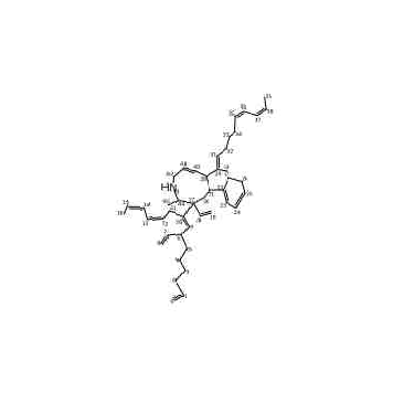 C=CCCCCC(C=C)/C=C(\C/C=C\C=C/C)C1(C=C)CC(C2=CC=CCC2)C(/C(C)=C/CCC/C=C\C=C/C)/C=C\CNC1C